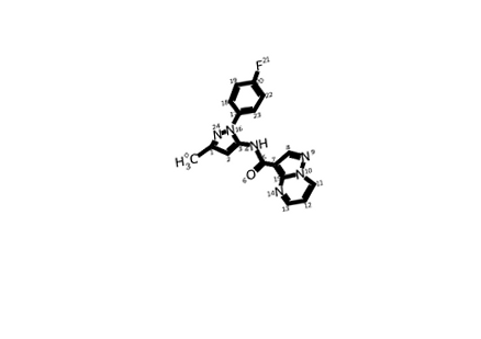 Cc1cc(NC(=O)c2cnn3cccnc23)n(-c2ccc(F)cc2)n1